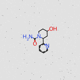 NC(=O)N1CCC(O)CC1c1ccccn1